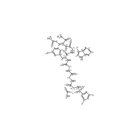 Cc1cc(C)cc(S(=O)(=O)N[C@H](CC(=O)O)C(=O)NCC(=O)NCC(=O)N[C@@H](Cc2cccc(F)c2)C(=O)N[C@@H](Cc2c[nH]c3ccccc23)C(=O)N[C@@H](CCC(=O)O)C(N)=O)c1